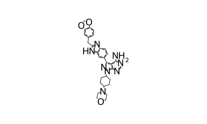 Nc1ncnc2c1c(-c1ccc3nc(Cc4ccc5c(c4)OCO5)[nH]c3c1)nn2C1CCC(N2CCOCC2)CC1